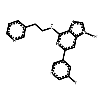 CC(C)n1cnc2c(NCCc3cccnc3)nc(-c3cncc(F)c3)cc21